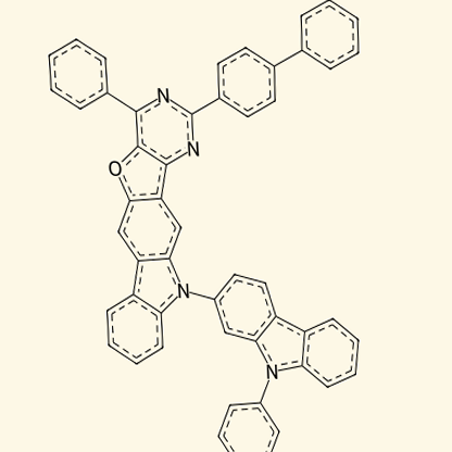 c1ccc(-c2ccc(-c3nc(-c4ccccc4)c4oc5cc6c7ccccc7n(-c7ccc8c9ccccc9n(-c9ccccc9)c8c7)c6cc5c4n3)cc2)cc1